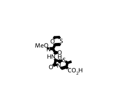 CON=C(C(=O)NC1C(=O)N2C=C(C(=O)O)C(C)S[C@H]12)C1=CSCCO1